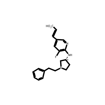 O=C(O)C=Cc1cnc(N[C@@H]2CCN(CCc3ccccc3)C2)c(F)c1